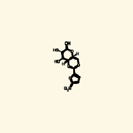 O=[N+]([O-])c1ccc(C2OC[C@@H]3OC(O)[C@@H](O)[C@H](O)[C@H]3O2)o1